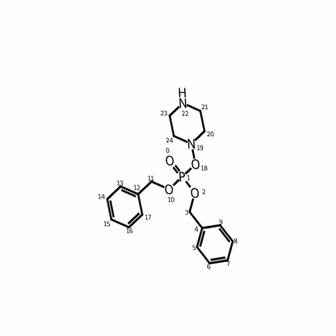 O=P(OCc1ccccc1)(OCc1ccccc1)ON1CCNCC1